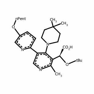 CCCCCOc1ccc(-c2cnc(C)c([C@H](OC(C)(C)C)C(=O)O)c2N2CCC(C)(C)CC2)nc1